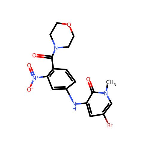 Cn1cc(Br)cc(Nc2ccc(C(=O)N3CCOCC3)c([N+](=O)[O-])c2)c1=O